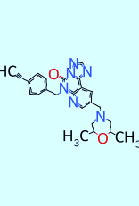 C#Cc1ccc(Cn2c(=O)n3ncnc3c3cc(CN4CC(C)OC(C)C4)cnc32)cc1